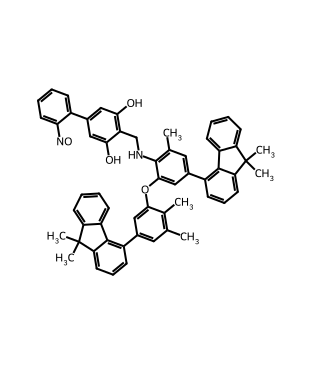 Cc1cc(-c2cccc3c2-c2ccccc2C3(C)C)cc(Oc2cc(-c3cccc4c3-c3ccccc3C4(C)C)cc(C)c2NCc2c(O)cc(-c3ccccc3N=O)cc2O)c1C